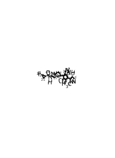 Cn1nccc1-c1c(F)c(Cl)c(-c2ccc3nc(NC(=O)[C@@H]4C[C@@H]4F)cn3c2)c2cn[nH]c12